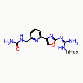 CCCCCCNC(N)=Nc1nc(-c2cccc(CNC(N)=O)n2)co1